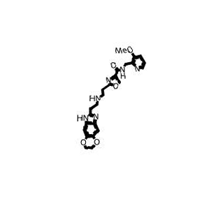 COc1cccnc1CNC(=O)c1coc(CCNCCc2nc3cc4c(cc3[nH]2)OCCO4)n1